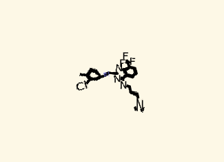 Cc1ccc(/C=C/c2nc(N(C)CCCN(C)C)c3cccc(C(F)(F)F)c3n2)cc1Cl